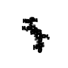 CCC(CC)(c1ccc(CCC(O)C(C)(C)C)c(C)c1)c1ccc(OC[C@H]2CCC(=O)N2)c(C)c1